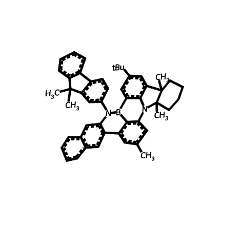 Cc1cc2c3c(c1)N1c4c(cc(C(C)(C)C)cc4C4(C)CCCCC14C)B3N(c1ccc3c(c1)C(C)(C)c1ccccc1-3)c1cc3ccccc3cc1-2